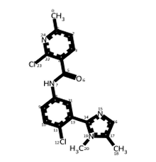 Cc1ccc(C(=O)Nc2ccc(Cl)c(-c3ncc(C)n3C)c2)c(Cl)n1